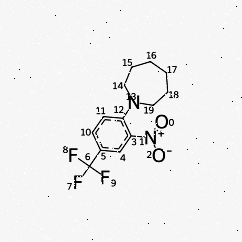 O=[N+]([O-])c1cc(C(F)(F)F)ccc1N1CCCCCC1